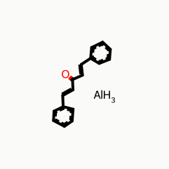 O=C(C=Cc1ccccc1)C=Cc1ccccc1.[AlH3]